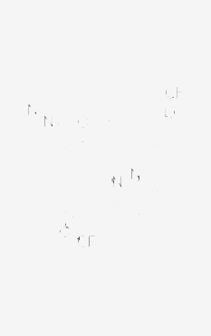 O=C(C(Cn1cccn1)c1ccc(OC(F)(F)F)cc1)C(Cn1cccn1)c1ccc(OC(F)(F)F)cc1